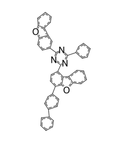 c1ccc(-c2ccc(-c3ccc(-c4nc(-c5ccccc5)nc(-c5ccc6oc7ccccc7c6c5)n4)c4c3oc3ccccc34)cc2)cc1